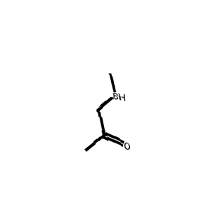 CBCC(C)=O